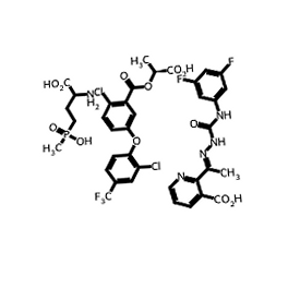 C/C(=N\NC(=O)Nc1cc(F)cc(F)c1)c1ncccc1C(=O)O.CP(=O)(O)CCC(N)C(=O)O.C[C@H](OC(=O)c1cc(Oc2ccc(C(F)(F)F)cc2Cl)ccc1Cl)C(=O)O